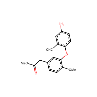 Bc1ccc(Oc2cc(CC(=O)OC)ccc2OC)c(C=O)c1